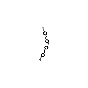 N#Cc1ccc(/C=C/c2ccc(Sc3ccc(/C=C/c4ccc(C#N)cc4)cc3)cc2)cc1